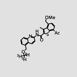 [2H]C([2H])([2H])OCc1cccc2nc(NC(=O)c3sc4c(C(C)=O)ccc(COC)c4c3C)ccc12